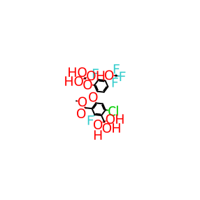 COC(=O)c1c(Oc2ccc(OC(F)(F)F)c(F)c2OC(O)(O)O)cc(Cl)c(C(O)(O)O)c1F